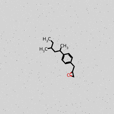 CCC(C)CC(C)c1ccc(CC2CO2)cc1